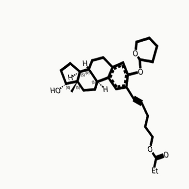 CCC(=O)OCCCC#Cc1cc2c(cc1OC1CCCCO1)CC[C@@H]1[C@@H]2CC[C@]2(C)[C@H](O)CC[C@@H]12